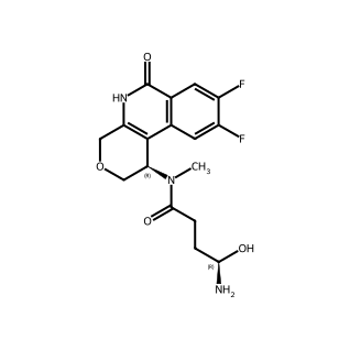 CN(C(=O)CC[C@H](N)O)[C@H]1COCc2[nH]c(=O)c3cc(F)c(F)cc3c21